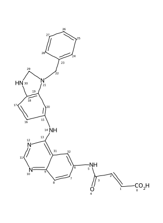 O=C(O)C=CC(=O)Nc1ccc2ncnc(Nc3ccc4c(c3)N(Cc3ccccc3)CN4)c2c1